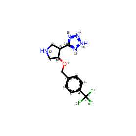 FC(F)(F)c1ccc(COC2CNCC2c2nn[nH]n2)cc1